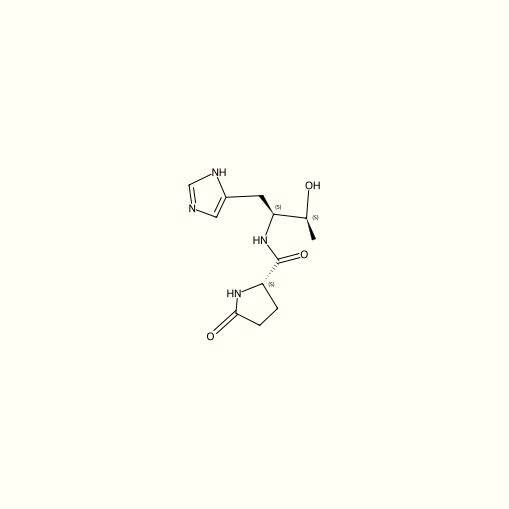 C[C@H](O)[C@H](Cc1cnc[nH]1)NC(=O)[C@@H]1CCC(=O)N1